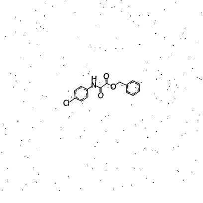 O=C(Nc1ccc(Cl)cc1)C(=O)OCc1ccccc1